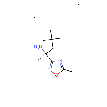 Cc1nc([C@@](C)(N)CC(C)(C)C)no1